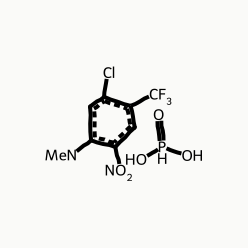 CNc1cc(Cl)c(C(F)(F)F)cc1[N+](=O)[O-].O=[PH](O)O